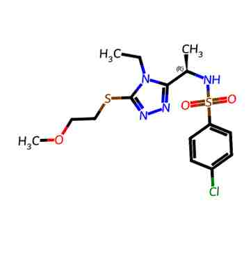 CCn1c(SCCOC)nnc1[C@@H](C)NS(=O)(=O)c1ccc(Cl)cc1